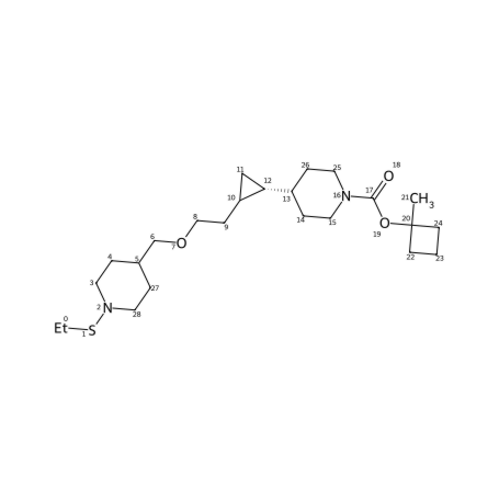 CCSN1CCC(COCCC2C[C@@H]2C2CCN(C(=O)OC3(C)CCC3)CC2)CC1